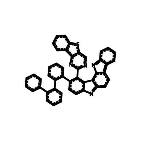 c1ccc(-c2ccccc2-c2ccccc2-c2ccc3c(c2-c2ncc4sc5ccccc5c4n2)-c2c4c(ccc2=N3)=c2ccccc2=N4)cc1